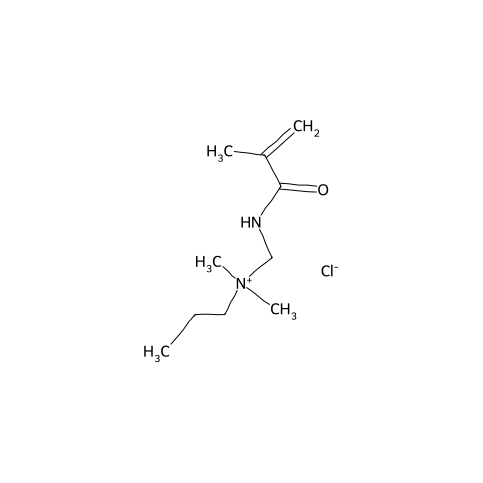 C=C(C)C(=O)NC[N+](C)(C)CCC.[Cl-]